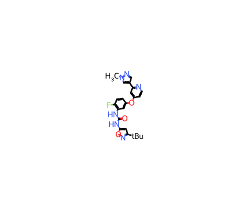 Cn1cc(-c2cc(Oc3ccc(F)c(NC(=O)Nc4cc(C(C)(C)C)no4)c3)ccn2)cn1